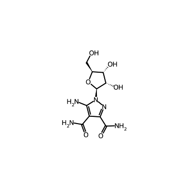 NC(=O)c1nn([C@H]2O[C@@H](CO)[C@H](O)[C@@H]2O)c(N)c1C(N)=O